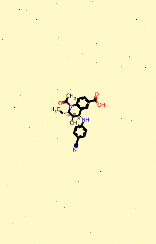 CC[C@H]1[C@H](C)[C@@H](Nc2ccc(C#N)cc2)c2cc(C(=O)O)ccc2N1C(C)=O